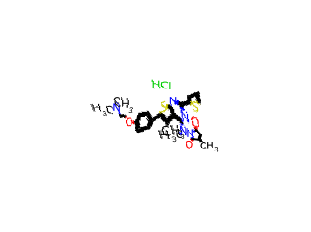 CC1=CC(=O)N(N(C)c2nc(-c3cccs3)nc3sc(-c4ccc(OCCN(C)C)cc4)c(C)c23)C1=O.Cl